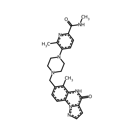 CNC(=O)c1ccc(N2CCN(Cc3ccc4c([nH]c(=O)c5ccnn54)c3C)CC2)c(C)n1